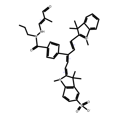 CCCN(N/C=C(\C)C=O)C(=O)c1ccc(C(=C\C=C2\N(C)c3ccc(S(=O)(=O)[O-])cc3C2(C)C)/C=C/C2=[N+](C)c3ccccc3C2(C)C)cc1